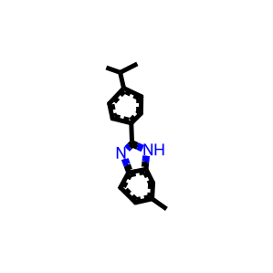 Cc1ccc2nc(-c3ccc(C(C)C)cc3)[nH]c2c1